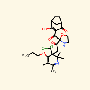 COCCOC1=C(C)C(C(F)(F)F)=NC(C)(C)C1(CC(=O)C1(C(=O)C2=C(O)C3CCC(C3)C2=O)NCCO1)C(Cl)Cl